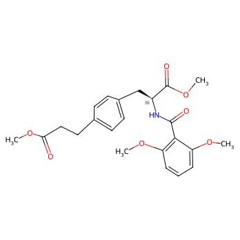 COC(=O)CCc1ccc(C[C@H](NC(=O)c2c(OC)cccc2OC)C(=O)OC)cc1